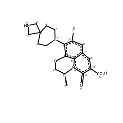 C[C@H]1COc2c(N3CCC4(CC3)CNC4)c(F)cc3cc(C(=O)O)c(=O)n1c23